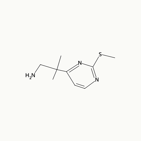 CSc1nccc(C(C)(C)CN)n1